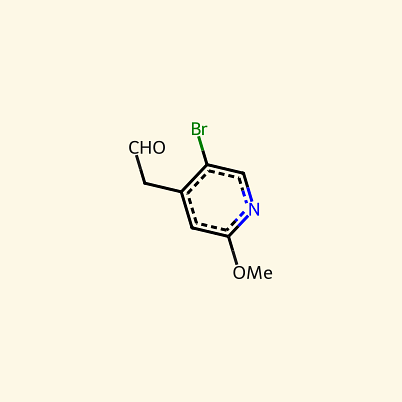 COc1cc(CC=O)c(Br)cn1